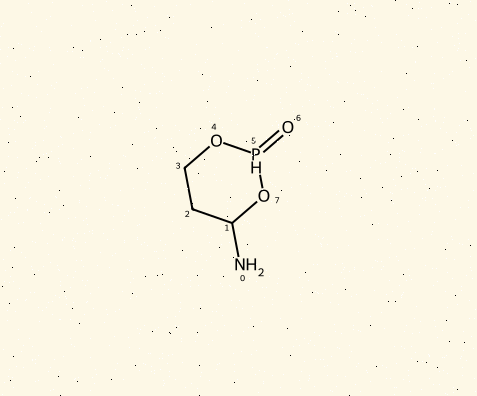 NC1CCO[PH](=O)O1